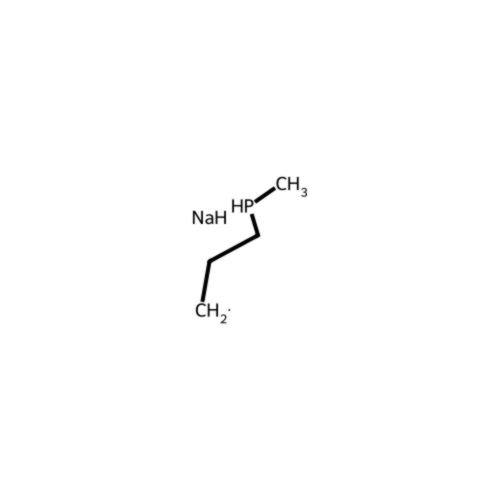 [CH2]CCPC.[NaH]